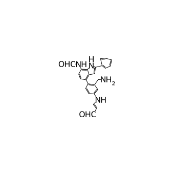 NCc1cc(NC=CC=O)ccc1-c1ccc(NC=O)c2[nH]c(-c3ccccc3)cc12